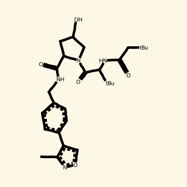 Cc1nocc1-c1ccc(CNC(=O)C2CC(O)CN2C(=O)C(NC(=O)CC(C)(C)C)C(C)(C)C)cc1